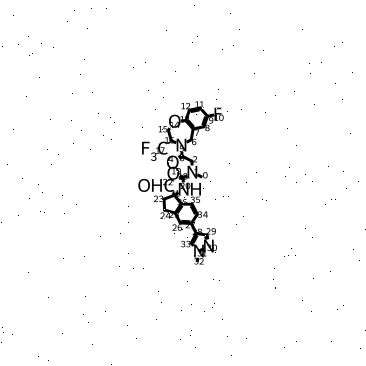 CN(CC(=O)N1Cc2cc(F)ccc2OC[C@H]1C(F)(F)F)C(=O)N[C@@]1(C=O)CCc2cc(-c3cnn(C)c3)ccc21